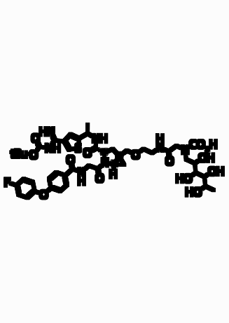 CC(NC(=O)[C@@H]1C[C@]2(COCCNC(=O)CN(CC(O)C(O)C(O)C(C)O)C(=O)O)C[C@@H]2N1C(=O)CNC(=O)c1ccc(Oc2ccc(F)cc2)cc1)c1cc(C(=N)NC(=O)OC(C)(C)C)cs1